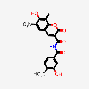 Cc1c(O)c([N+](=O)[O-])cc2cc(C(=O)NC(=O)c3ccc(C(=O)O)c(O)c3)c(=O)oc12